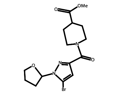 COC(=O)C1CCN(C(=O)c2cc(Br)n(C3CCCO3)n2)CC1